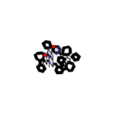 C=N/C(=N\C(=N/Cc1cccc2c3c(oc12)C(S(C1=CC=CCC=C1)(c1ccccc1)c1ccccc1)=CC=CC3)n1c2c(c3ccccc31)C=CC=CC2)n1c(/C=C(C)\C=C/C)cc2ccccc21